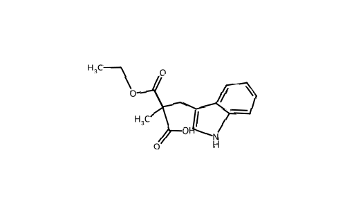 CCOC(=O)C(C)(Cc1c[nH]c2ccccc12)C(=O)O